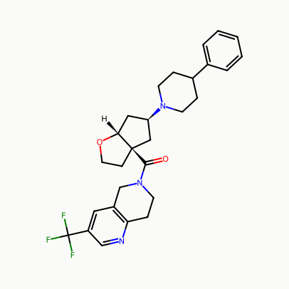 O=C(N1CCc2ncc(C(F)(F)F)cc2C1)[C@@]12CCO[C@@H]1C[C@@H](N1CCC(c3ccccc3)CC1)C2